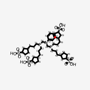 O=S(=O)(O)C1CCC(CCCP(CCCC2CCC(S(=O)(=O)O)C2)CN(CP(CCCC2CCC(S(=O)(=O)O)C2)CCCC2CCC(S(=O)(=O)O)C2)c2ccccc2)C1